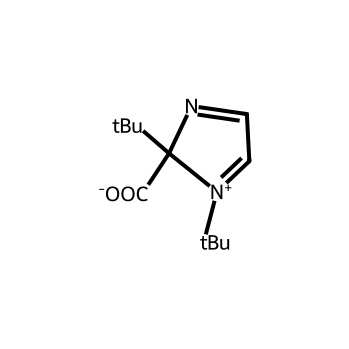 CC(C)(C)[N+]1=CC=NC1(C(=O)[O-])C(C)(C)C